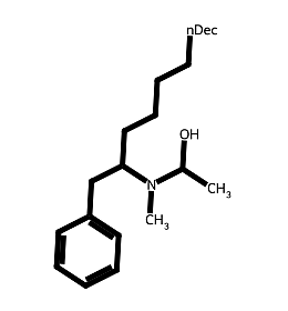 CCCCCCCCCCCCCCC(Cc1ccccc1)N(C)C(C)O